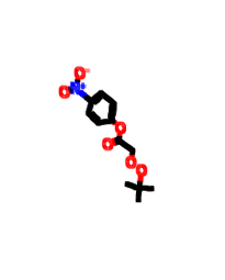 CC(C)(C)OOCC(=O)Oc1ccc([N+](=O)[O-])cc1